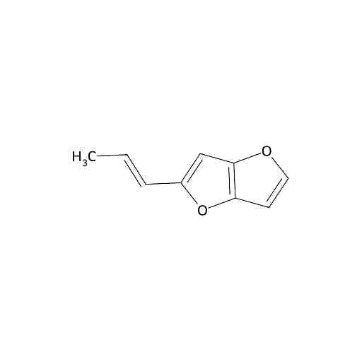 C/C=C/c1cc2occc2o1